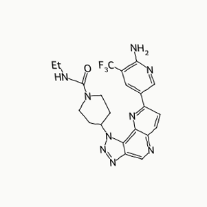 CCNC(=O)N1CCC(n2nnc3cnc4ccc(-c5cnc(N)c(C(F)(F)F)c5)nc4c32)CC1